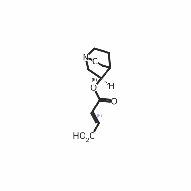 O=C(O)/C=C/C(=O)O[C@H]1CN2CCC1CC2